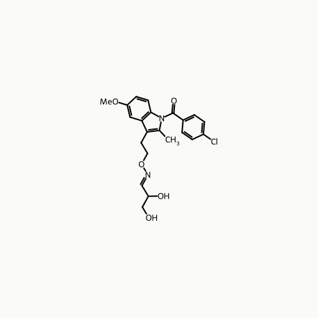 COc1ccc2c(c1)c(CCO/N=C/C(O)CO)c(C)n2C(=O)c1ccc(Cl)cc1